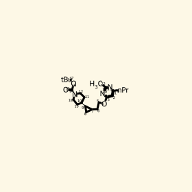 CCCc1cc(OCCC2C[C@@H]2C2CCN(C(=O)OC(C)(C)C)CC2)nc(C)n1